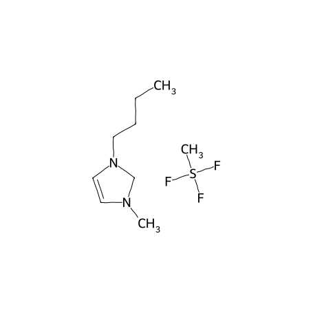 CCCCN1C=CN(C)C1.CS(F)(F)F